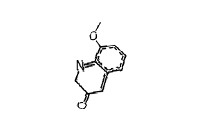 COc1cccc2c1=NCC(=O)C=2